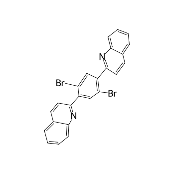 Brc1cc(-c2ccc3ccccc3n2)c(Br)cc1-c1ccc2ccccc2n1